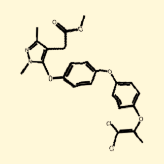 COC(=O)Cc1c(C)nn(C)c1Oc1ccc(Oc2ccc(OC(C)=C(Cl)Cl)cc2)cc1